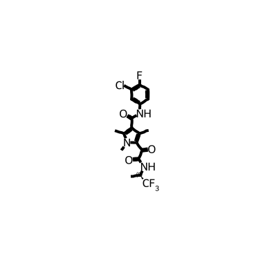 Cc1c(C(=O)Nc2ccc(F)c(Cl)c2)c(C)n(C)c1C(=O)C(=O)N[C@@H](C)C(F)(F)F